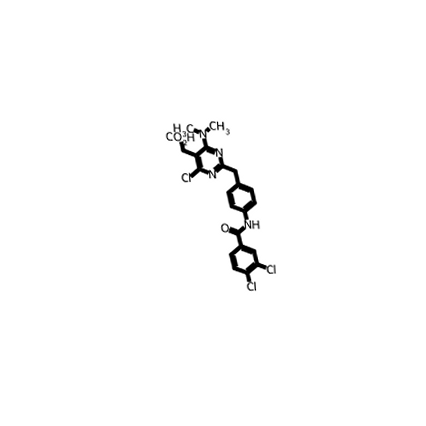 CN(C)c1nc(Cc2ccc(NC(=O)c3ccc(Cl)c(Cl)c3)cc2)nc(Cl)c1CC(=O)O